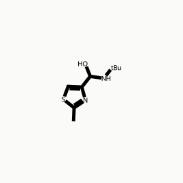 Cc1nc(C(O)NC(C)(C)C)cs1